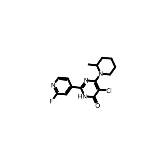 CC1CCCCN1c1nc(-c2ccnc(F)c2)[nH]c(=O)c1Cl